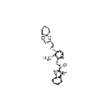 Cc1c(OC[C@H]2COC3(CCCCC3)O2)ccnc1C[S+]([O-])c1nc2ccccc2[nH]1